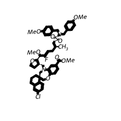 COC(=O)c1ccc2c(c1)N(C[C@@H]1CCO[C@H]1C(OC)/C(F)=C/C[C@H](C)CS(=O)(=O)N(Cc1ccc(OC)cc1)Cc1ccc(OC)cc1)C[C@@]1(CCCc3cc(Cl)ccc31)CO2